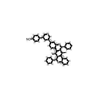 Cc1c2c(-c3ccccc3)nc3cc(-c4cncc(-c5ccc(C#N)cc5)c4)ccc3c2c(C)c2c(-c3ccccc3)nc3ccccc3c12